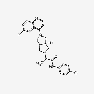 CC(C(=O)Nc1ccc(Cl)cc1)[C@H]1CC2CN(c3ccnc4ccc(F)cc34)C[C@H]2C1